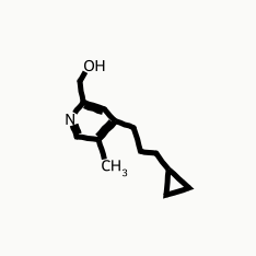 Cc1cnc(CO)cc1CCCC1CC1